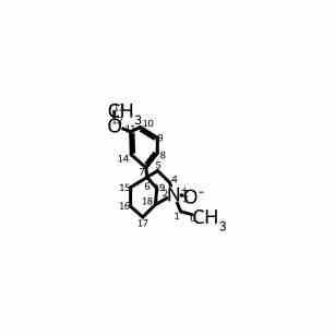 CC[N+]1([O-])CCC2(c3cccc(OC)c3)CCCC1C2